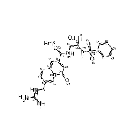 Cl.N=C(N)NCc1ccc2cc(C(=O)NC[C@H](NS(=O)(=O)c3ccccc3)C(=O)O)cc(=O)n2c1